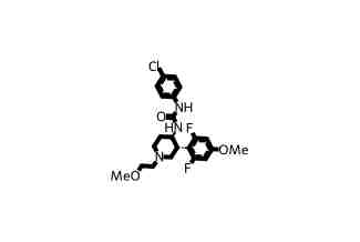 COCCN1CC[C@@H](NC(=O)Nc2ccc(Cl)cc2)[C@H](c2c(F)cc(OC)cc2F)C1